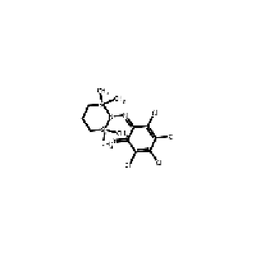 C[Si]1(C)CCC[Si](C)(C)N1N=C1C(=O)C(Cl)=C(Cl)C(Cl)=C1Cl